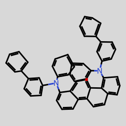 c1ccc(-c2cccc(N(c3ccccc3)c3cccc4c3ccc3c4ccc4cccc(N(c5ccccc5)c5cccc(-c6ccccc6)c5)c43)c2)cc1